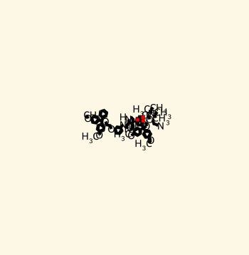 COc1ccc(C(OCCOc2cccc(Nc3ncnc4c3ncn4[C@H]3C[C@H](OP(OCCC#N)N(C(C)C)C(C)C)[C@@H](COC(c4ccccc4)(c4ccc(OC)cc4)c4ccc(OC)cc4)O3)c2)(c2ccccc2)c2ccc(OC)cc2)cc1